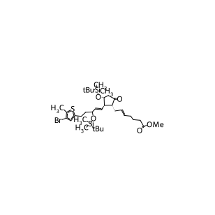 COC(=O)CCCC=CC[C@H]1C(=O)C[C@@H](O[Si](C)(C)C(C)(C)C)[C@@H]1C=CC(CCc1cc(Br)c(C)s1)O[Si](C)(C)C(C)(C)C